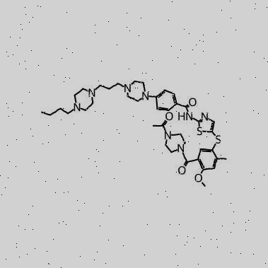 CCCCN1CCN(CCCN2CCN(c3ccc(C(=O)Nc4ncc(Sc5cc(C(=O)N6CCN(C(C)=O)CC6)c(OC)cc5C)s4)cc3)CC2)CC1